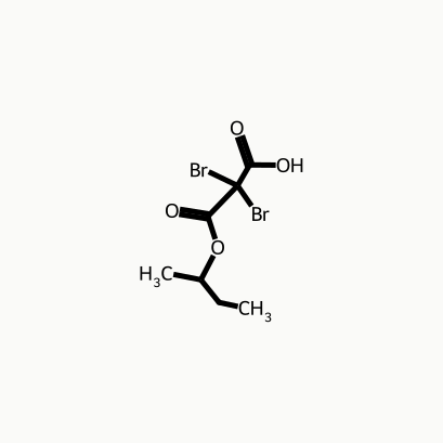 CCC(C)OC(=O)C(Br)(Br)C(=O)O